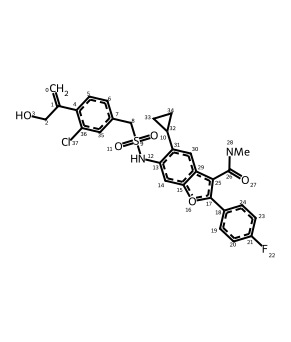 C=C(CO)c1ccc(CS(=O)(=O)Nc2cc3oc(-c4ccc(F)cc4)c(C(=O)NC)c3cc2C2CC2)cc1Cl